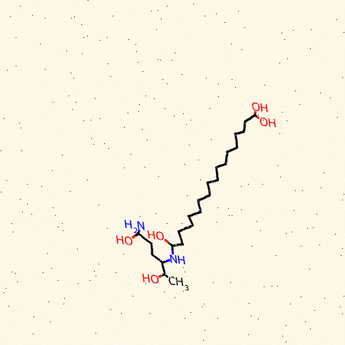 CC(O)C(CCC(N)O)NC(O)CCCCCCCCCCCCCCCCC(O)O